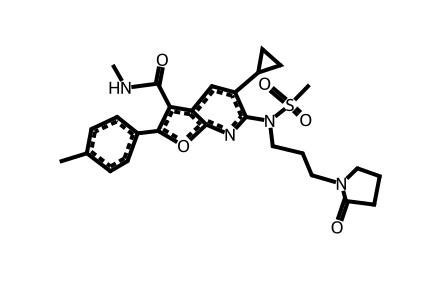 CNC(=O)c1c(-c2ccc(C)cc2)oc2nc(N(CCCN3CCCC3=O)S(C)(=O)=O)c(C3CC3)cc12